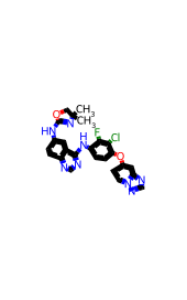 CC1(C)COC(Nc2ccc3ncnc(Nc4ccc(Oc5ccn6ncnc6c5)c(Cl)c4F)c3c2)=N1